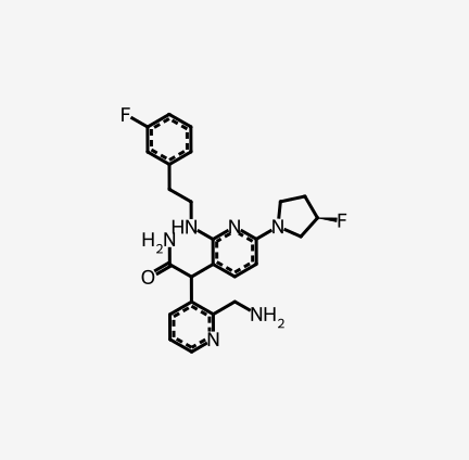 NCc1ncccc1C(C(N)=O)c1ccc(N2CC[C@@H](F)C2)nc1NCCc1cccc(F)c1